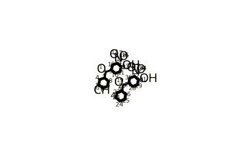 C.O=C(c1ccccc1)c1ccc(O)c([N+](=O)[O-])c1.O=C(c1ccccc1)c1ccc(O)c([N+](=O)[O-])c1